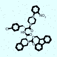 O=C(N[C@H](Cc1ccc(Cl)cc1)C(=O)N1CCN(c2ccccc2[N+](=O)[O-])CC1)[C@H]1Cc2ccccc2CN1C(=O)OCC1c2ccccc2-c2ccccc21